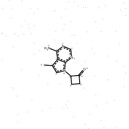 Nc1ncnc2c1c(I)cn2C1CCC1=O